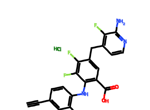 C#Cc1ccc(Nc2c(C(=O)O)cc(Cc3ccnc(N)c3F)c(F)c2F)c(F)c1.Cl